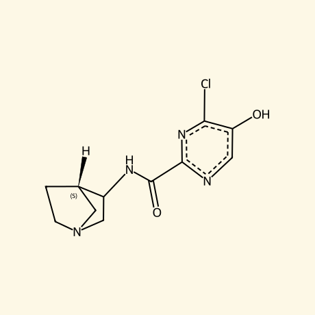 O=C(NC1CN2CC[C@H]1C2)c1ncc(O)c(Cl)n1